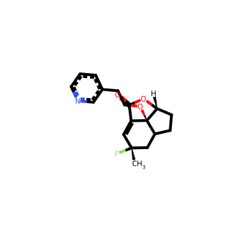 C[C@@]1(F)C=C2C(=O)O[C@@H]3CCC(C1)[C@]23OCCc1cccnc1